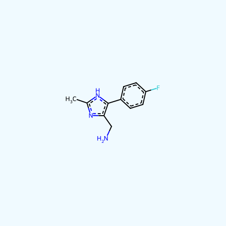 Cc1nc(CN)c(-c2ccc(F)cc2)[nH]1